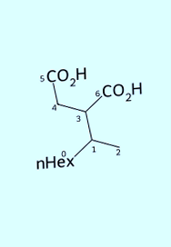 CCCCCCC(C)C(CC(=O)O)C(=O)O